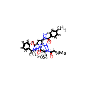 CNCC(=O)N[C@H](C(=O)N1C[C@@H](NC(=O)c2ccc(C)cc2)C[C@H]1C(=O)N[C@H](C)c1ccccc1)C(C)(C)C